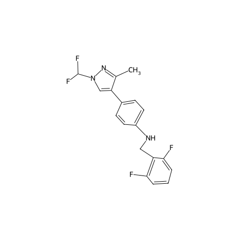 Cc1nn(C(F)F)cc1-c1ccc(NCc2c(F)cccc2F)cc1